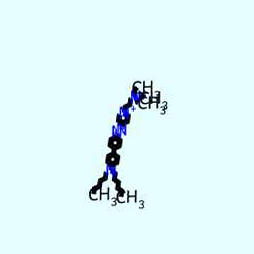 CCCCCCN(CCCCCC)c1ccc(-c2ccc(/N=N/c3cc[n+](CCC[N+](CC)(CC)CC)cc3)cc2)cc1